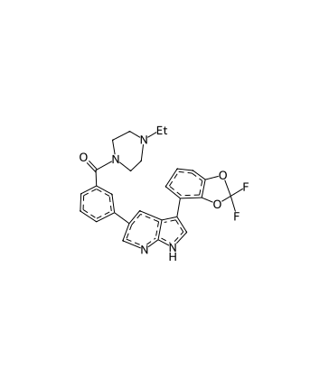 CCN1CCN(C(=O)c2cccc(-c3cnc4[nH]cc(-c5cccc6c5OC(F)(F)O6)c4c3)c2)CC1